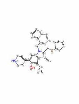 [2H]c1c(CSc2ccccc2)n(Cc2cccc3ccccc23)c2cc(C3=CCNCC3)c(O)c(CC)c12